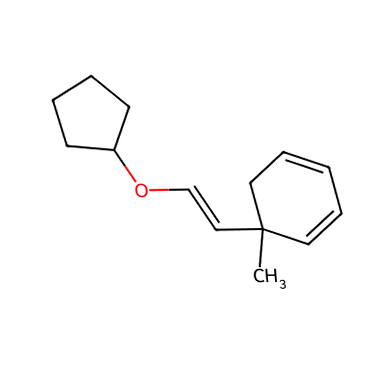 CC1(C=COC2CCCC2)C=CC=CC1